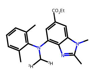 [2H]C([2H])N(c1c(C)cccc1C)c1cc(C(=O)OCC)cc2c1nc(C)n2C